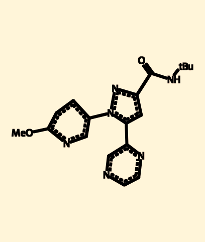 COc1ccc(-n2nc(C(=O)NC(C)(C)C)cc2-c2cnccn2)cn1